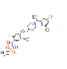 CCC(c1cc(Cl)cc(Cl)c1)N1CCC(COc2cc(F)c(C(=O)NS(C)(=O)=O)cc2C2CC2)CC1